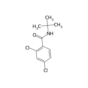 CC(C)(C)NC(=O)c1ccc(Cl)cc1Cl